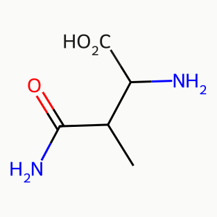 CC(C(N)=O)C(N)C(=O)O